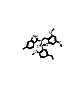 CCc1ccc(OC)c(S(=O)(=O)N(Cc2ccc(OC)cc2OC)c2noc3cc(C)ccc23)c1